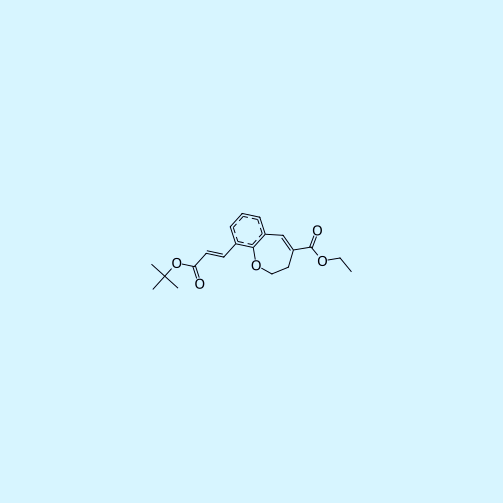 CCOC(=O)C1=Cc2cccc(/C=C/C(=O)OC(C)(C)C)c2OCC1